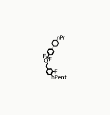 CCCCCc1ccc(CCOC(F)(F)c2ccc([C@H]3CC[C@H](CCC)CC3)cc2)cc1F